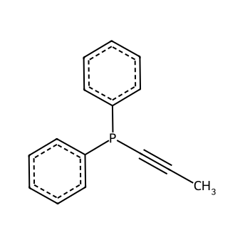 CC#CP(c1ccccc1)c1ccccc1